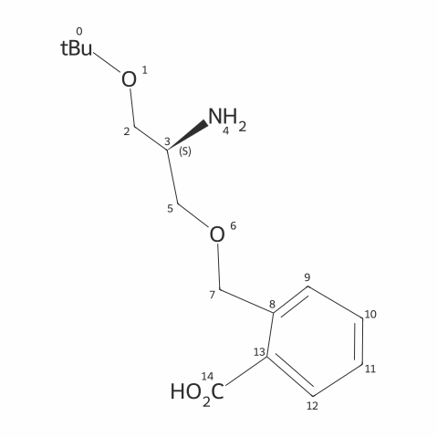 CC(C)(C)OC[C@@H](N)COCc1ccccc1C(=O)O